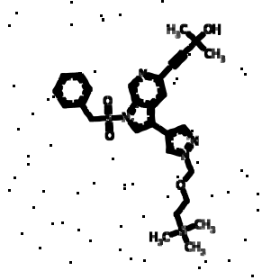 CC(C)(O)C#Cc1cc2c(-c3cnn(COCC[Si](C)(C)C)c3)cn(S(=O)(=O)Cc3ccccc3)c2cn1